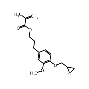 C=C(C)C(=O)OCCCc1ccc(OCC2CO2)c(OC)c1